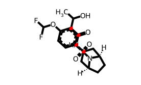 CC(O)CC(=O)NC1C[C@H]2CC[C@@H](C1)N2S(=O)(=O)c1ccc(OC(F)F)cc1